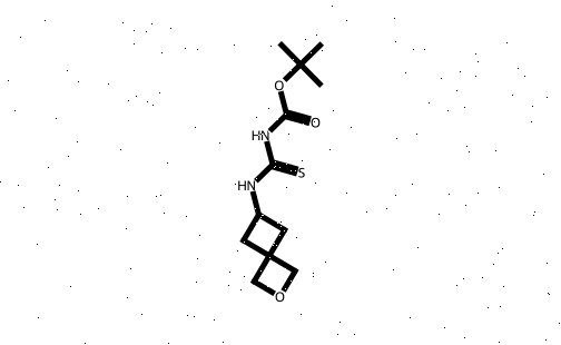 CC(C)(C)OC(=O)NC(=S)NC1CC2(COC2)C1